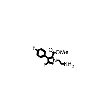 COC(=O)c1c(-c2ccc(F)cc2)c(I)cn1CCN